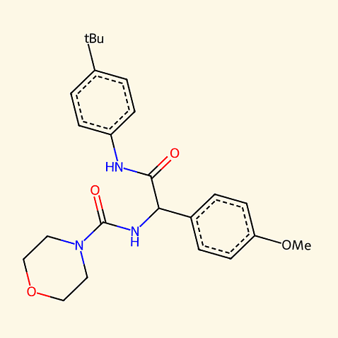 COc1ccc(C(NC(=O)N2CCOCC2)C(=O)Nc2ccc(C(C)(C)C)cc2)cc1